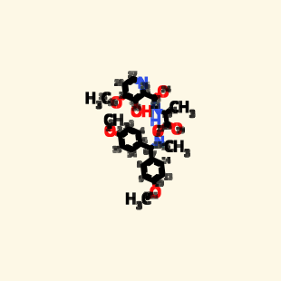 COc1ccc(C(c2ccc(OC)cc2)N(C)OC(=O)C(C)NC(=O)c2nccc(OC)c2O)cc1